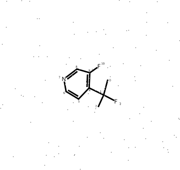 CC(C)(F)c1ccncc1F